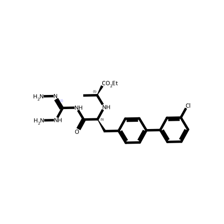 CCOC(=O)[C@H](C)N[C@@H](Cc1ccc(-c2cccc(Cl)c2)cc1)C(=O)N/C(=N/N)NN